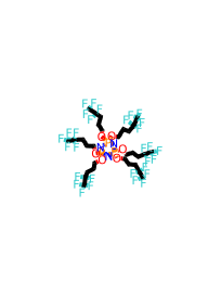 FC(F)(F)C(F)(F)CCCOP1(OCCCC(F)(F)C(F)(F)F)=NP(OCCCC(F)(F)C(F)(F)F)(OCCCC(F)(F)C(F)(F)F)=NP(OCCCC(F)(F)C(F)(F)F)(OCCCC(F)(F)C(F)(F)F)=N1